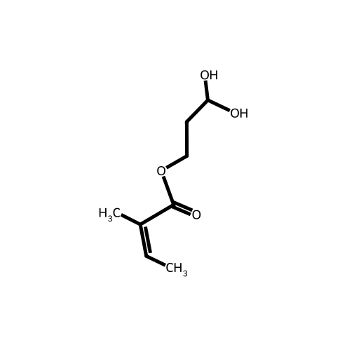 CC=C(C)C(=O)OCCC(O)O